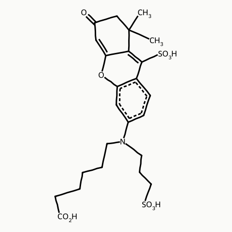 CC1(C)CC(=O)C=C2Oc3cc(N(CCCCCC(=O)O)CCCS(=O)(=O)O)ccc3C(S(=O)(=O)O)=C21